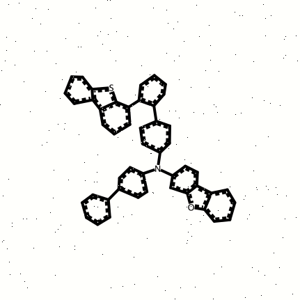 c1ccc(-c2ccc(N(c3ccc(-c4ccccc4-c4cccc5c4sc4ccccc45)cc3)c3ccc4c(c3)oc3ccccc34)cc2)cc1